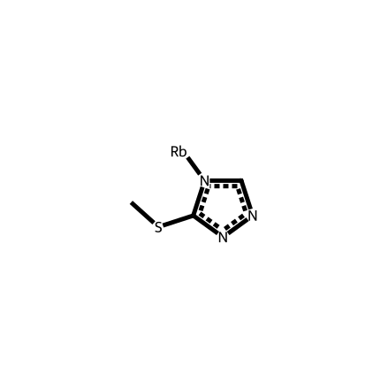 CSc1nnc[n]1[Rb]